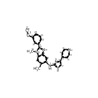 Cc1cc2c(cc1Nc1nc(-c3ccncc3)cs1)nc(-c1cccc(OC(F)(F)F)c1)n2C